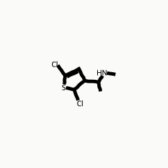 CNC(C)C1C=C(Cl)SC1Cl